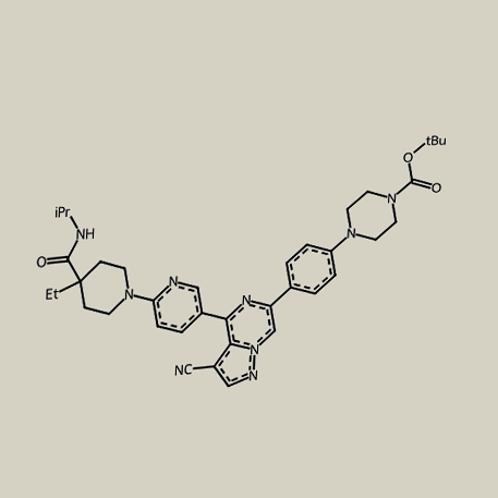 CCC1(C(=O)NC(C)C)CCN(c2ccc(-c3nc(-c4ccc(N5CCN(C(=O)OC(C)(C)C)CC5)cc4)cn4ncc(C#N)c34)cn2)CC1